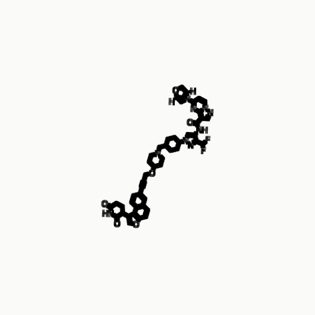 O=C1CCC(c2coc3ccc4cc(C#CCOC5CCN(CC6CCC(n7cc(NC(=O)c8cnn9ccc(N%10C[C@H]%11C[C@@H]%10CO%11)nc89)c(C(F)F)n7)CC6)CC5)ccc4c23)C(=O)N1